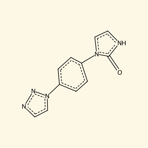 O=c1[nH]ccn1-c1ccc(-n2ccnn2)cc1